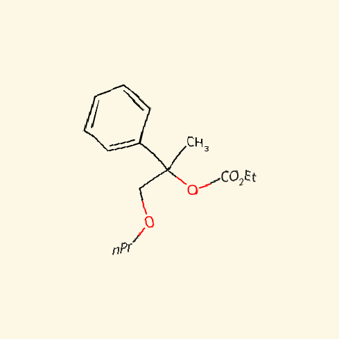 CCCOCC(C)(OC(=O)OCC)c1ccccc1